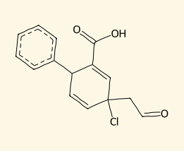 O=CCC1(Cl)C=CC(c2ccccc2)C(C(=O)O)=C1